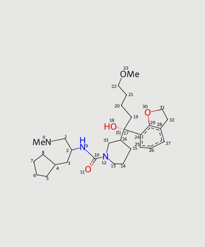 CNCC(CC1CCCC1)NC(=O)N1CCCC([C@@](O)(CCCCOC)c2cccc3c2OCC3)C1